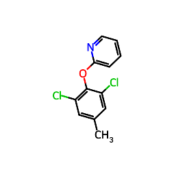 Cc1cc(Cl)c(Oc2ccccn2)c(Cl)c1